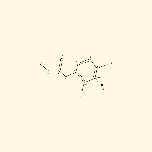 CCC(=O)Cc1ccc(F)c(F)c1O